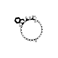 NC1NCCCCCCCCNCCCCCCCCNC(N)N(Cc2ccccc2)C(=O)N1